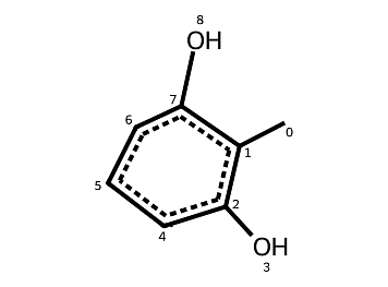 Cc1c(O)[c]ccc1O